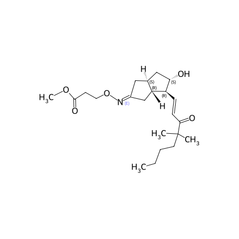 CCCCC(C)(C)C(=O)C=C[C@H]1[C@@H]2C/C(=N/OCCC(=O)OC)C[C@H]2C[C@@H]1O